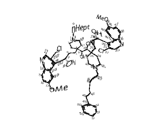 CCCCCCCN1CCC(CC[C@H](O)c2c(Cl)cnc3ccc(OC)cc23)(C(O)C(O)C2(CC[C@H](O)c3c(Cl)cnc4ccc(OC)cc34)CCN(CCCCc3ccccc3)CC2)CC1